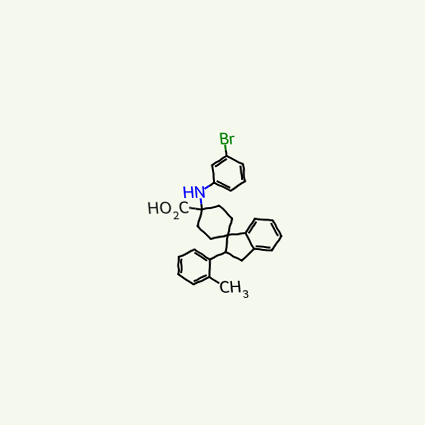 Cc1ccccc1C1Cc2ccccc2C12CCC(Nc1cccc(Br)c1)(C(=O)O)CC2